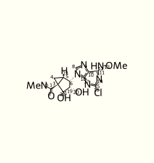 CNC(=O)[C@@]12C[C@@H]1[C@H](n1cnc3c(NOC)nc(Cl)nc31)[C@H](O)[C@@H]2O